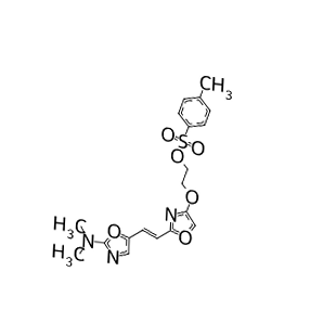 Cc1ccc(S(=O)(=O)OCCOc2coc(C=Cc3cnc(N(C)C)o3)n2)cc1